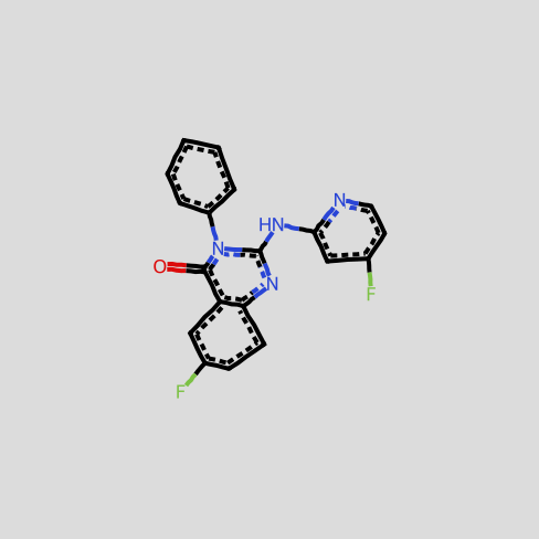 O=c1c2cc(F)ccc2nc(Nc2cc(F)ccn2)n1-c1ccccc1